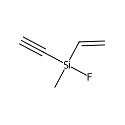 C#C[Si](C)(F)C=C